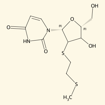 CSCCSC1C(O)[C@@H](CO)O[C@H]1n1ccc(=O)[nH]c1=O